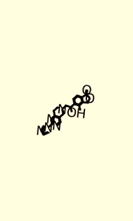 Cc1c(C(O)CN2CCc3nc(-n4ccnc4)ncc3C2)ccc2c1COC2=O